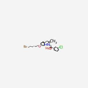 C[C@H](Cc1ccc(OCCCCCCBr)cc1)NC[C@H](O)c1cccc(Cl)c1